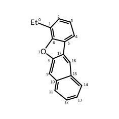 CCc1cccc2c1oc1cc3ccccc3cc12